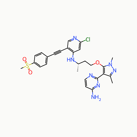 Cc1nn(C)c(OCC[C@H](C)Nc2cc(Cl)ncc2C#Cc2ccc(S(C)(=O)=O)cc2)c1-c1nccc(N)n1